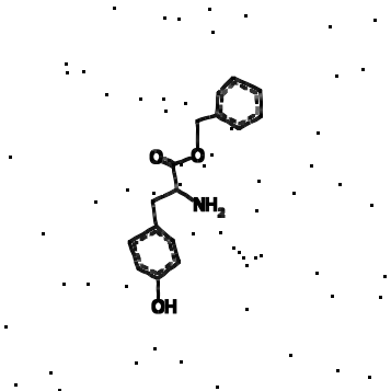 NC(Cc1ccc(O)cc1)C(=O)OCc1ccccc1